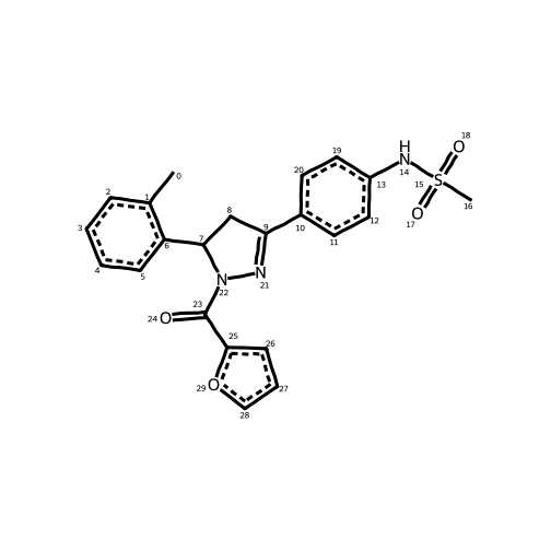 Cc1ccccc1C1CC(c2ccc(NS(C)(=O)=O)cc2)=NN1C(=O)c1ccco1